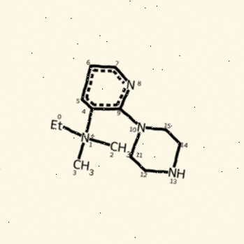 CC[N+](C)(C)c1cccnc1N1CCNCC1